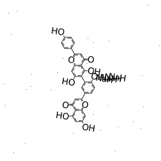 O=c1cc(-c2ccc(O)c(-c3c(O)cc4oc(-c5ccc(O)cc5)cc(=O)c4c3O)c2)oc2cc(O)cc(O)c12.[NaH].[NaH].[NaH].[NaH]